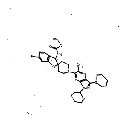 Cc1nc2c(N3CCCCC3)nn(C3CCCCO3)c2nc1N1CCC2(CC1)Oc1cc(F)ccc1[C@H]2NC(=O)OC(C)(C)C